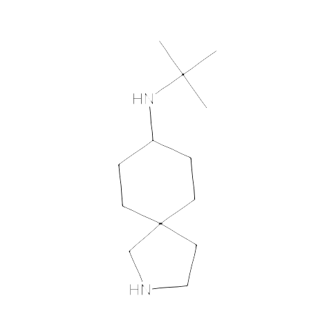 CC(C)(C)NC1CCC2(CCNC2)CC1